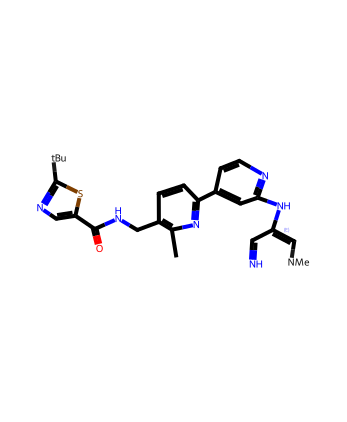 CN/C=C(\C=N)Nc1cc(-c2ccc(CNC(=O)c3cnc(C(C)(C)C)s3)c(C)n2)ccn1